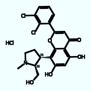 CN1CC[C@H](c2c(O)cc(O)c3c(=O)cc(-c4cccc(Cl)c4Cl)oc23)[C@H]1CO.Cl